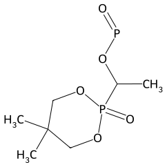 CC(OP=O)P1(=O)OCC(C)(C)CO1